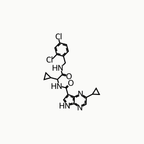 O=C(NC(C(=O)NCc1ccc(Cl)cc1Cl)C1CC1)c1c[nH]c2ncc(C3CC3)nc12